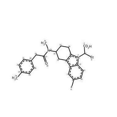 CCC(C(=O)O)n1c2c(c3cc(F)ccc31)CC(N(C)C(=O)Cc1ccc(C)cc1)CC2